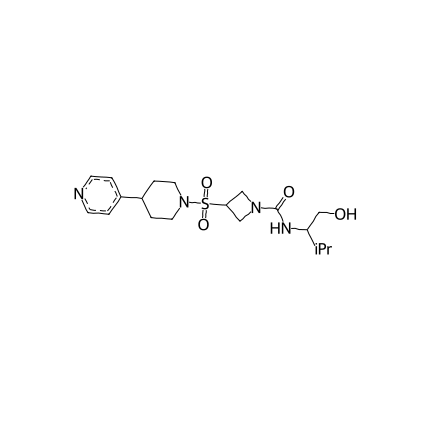 CC(C)C(CO)NC(=O)N1CC(S(=O)(=O)N2CCC(c3ccncc3)CC2)C1